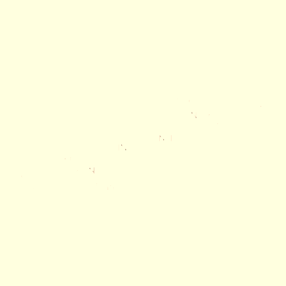 O=C1c2ccc3ccc4sccc4c3c2C(=O)N1CCNCCNCCN1C(=O)c2ccc3ccc4sccc4c3c2C1=O